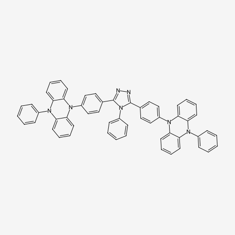 c1ccc(N2c3ccccc3N(c3ccc(-c4nnc(-c5ccc(N6c7ccccc7N(c7ccccc7)c7ccccc76)cc5)n4-c4ccccc4)cc3)c3ccccc32)cc1